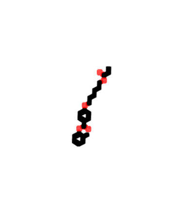 C=CC(=O)OCCCCCCOc1ccc(C(=O)Oc2ccccc2C)cc1